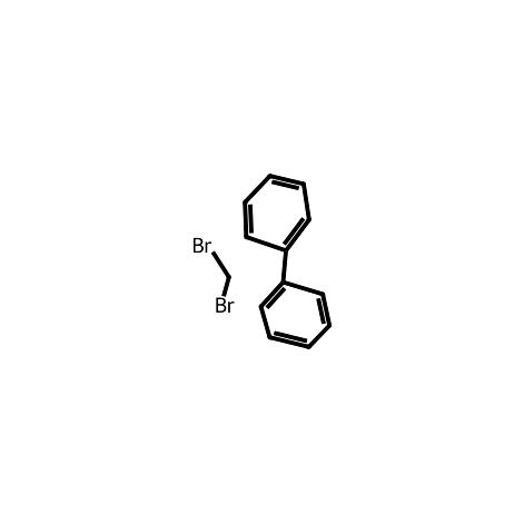 BrCBr.c1ccc(-c2ccccc2)cc1